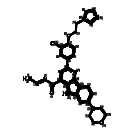 NN=NC(=O)c1cc(-c2ccc(OCCn3ccnc3)c(Cl)c2)nc2c1[nH]c1cc(N3CCOCC3)ccc12